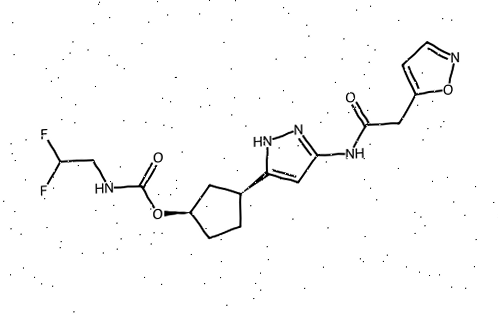 O=C(Cc1ccno1)Nc1cc([C@H]2CC[C@@H](OC(=O)NCC(F)F)C2)[nH]n1